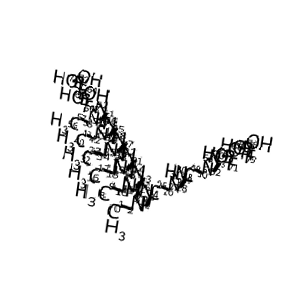 CCCn1ccnc1.CCCn1ccnc1.CCCn1ccnc1.CCCn1ccnc1.CCCn1ccnc1.CCCn1ccnc1.CCCn1ccnc1.CCCn1ccnc1.OB(O)F.OB(O)F.OB(O)F.OB(O)F